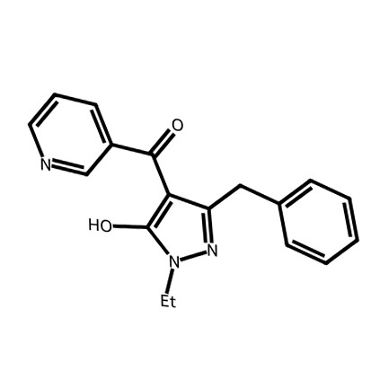 CCn1nc(Cc2ccccc2)c(C(=O)c2cccnc2)c1O